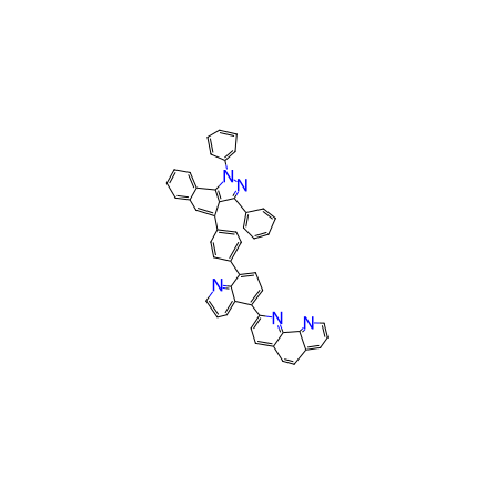 c1ccc(-c2nn(-c3ccccc3)c3c2c(-c2ccc(-c4ccc(-c5ccc6ccc7cccnc7c6n5)c5cccnc45)cc2)cc2ccccc23)cc1